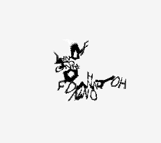 O=C(Nc1cc(Oc2cc(F)c(NC(=O)C3(C(=O)Nc4ccc(F)cc4)CC3)cc2F)ncn1)N1CC(CO)C1